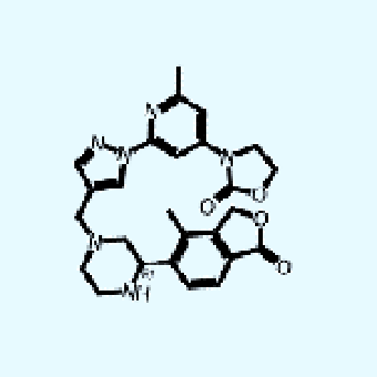 Cc1cc(N2CCOC2=O)cc(-n2cc(CN3CCN[C@H](c4ccc5c(c4C)COC5=O)C3)cn2)n1